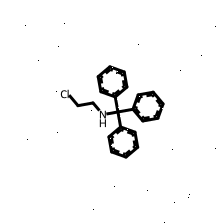 ClCCNC(c1ccccc1)(c1ccccc1)c1ccccc1